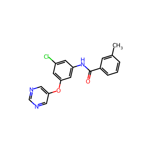 Cc1cccc(C(=O)Nc2cc(Cl)cc(Oc3cncnc3)c2)c1